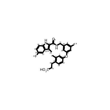 Cc1cc(Oc2cc(F)cc(CNC(=O)c3[nH]c4ccc(F)cc4c3C)c2)ccc1CCC(=O)O